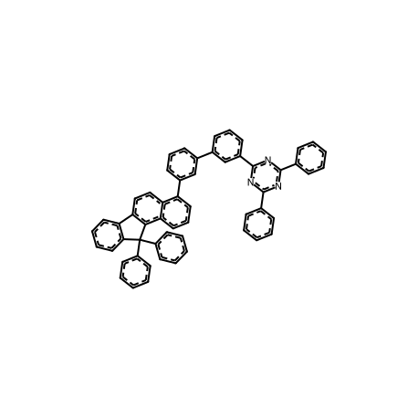 c1ccc(-c2nc(-c3ccccc3)nc(-c3cccc(-c4cccc(-c5cccc6c7c(ccc56)-c5ccccc5C7(c5ccccc5)c5ccccc5)c4)c3)n2)cc1